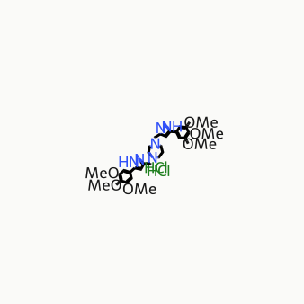 COc1cc(-c2cc(CN3CCCN(Cc4cc(-c5cc(OC)c(OC)c(OC)c5)[nH]n4)CC3)n[nH]2)cc(OC)c1OC.Cl.Cl